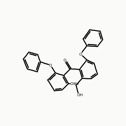 COc1cccc(Oc2ccccc2)c1C(=O)c1c(CO)cccc1Oc1ccccc1